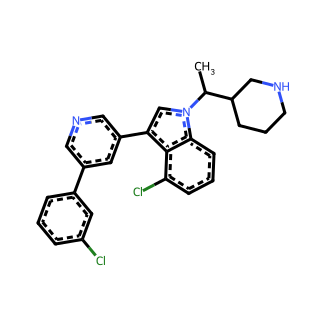 CC(C1CCCNC1)n1cc(-c2cncc(-c3cccc(Cl)c3)c2)c2c(Cl)cccc21